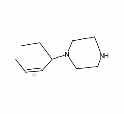 C/C=C\C(CC)N1CCNCC1